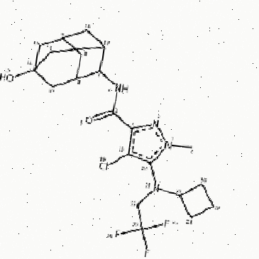 Cn1nc(C(=O)NC2C3CC4CC2CC(O)(C4)C3)c(Cl)c1N(CC(F)(F)F)C1CCC1